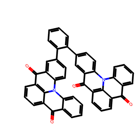 O=c1c2ccccc2n2c3ccc(-c4ccccc4-c4ccc5c(c4)c(=O)c4cccc6c(=O)c7ccccc7n5c64)cc3c(=O)c3cccc1c32